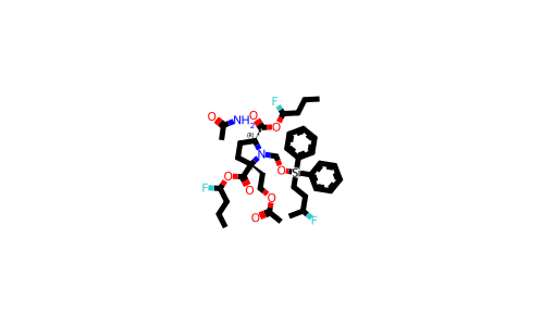 CC(N)=O.CCCC(F)OC(=O)[C@H]1CC[C@@](CCOC(C)=O)(C(=O)OC(F)CCC)N1CO[Si](CCC(C)F)(c1ccccc1)c1ccccc1